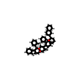 c1cc(-c2ccccc2-c2ccc3ccccc3c2)cc(N(c2ccccc2-c2cccc3sc4ccccc4c23)c2cccc3sc4ccccc4c23)c1